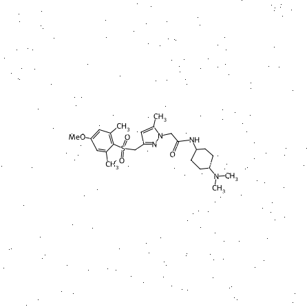 COc1cc(C)c(S(=O)(=O)Cc2cc(C)n(CC(=O)NC3CCC(N(C)C)CC3)n2)c(C)c1